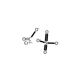 O=C[O-].O=S(=O)([O-])[O-].[Cr+3]